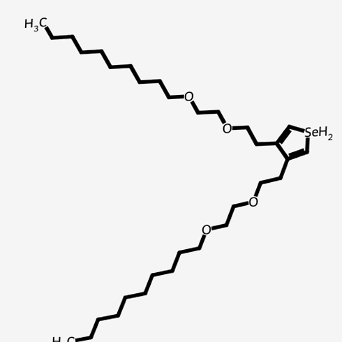 CCCCCCCCCCOCCOCCC1=C[SeH2]C=C1CCOCCOCCCCCCCCCC